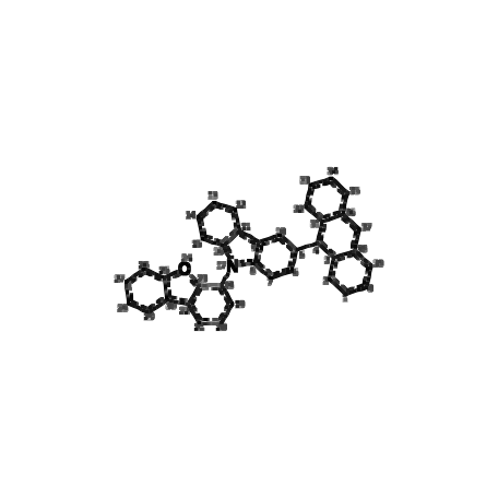 c1ccc2c(-c3ccc4c(c3)c3ccccc3n4-c3cccc4c3oc3ccccc34)c3ccccc3cc2c1